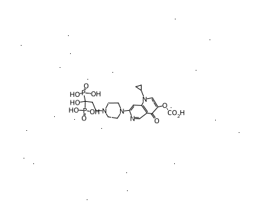 O=C(O)Oc1cn(C2CC2)c2cc(N3CCN(CCC(O)(P(=O)(O)O)P(=O)(O)O)CC3)ncc2c1=O